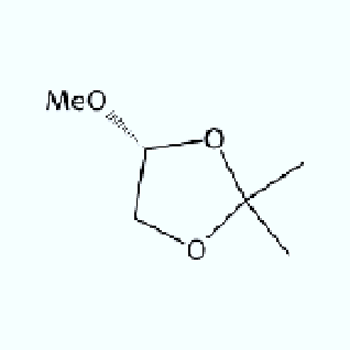 CO[C@H]1COC(C)(C)O1